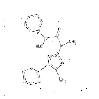 Cc1cn(C(C)C(=O)N(C)c2ccccc2)nc1-c1ccccc1